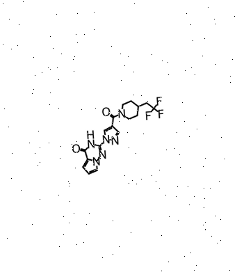 O=C(c1cnn(-c2nn3cccc3c(=O)[nH]2)c1)N1CCC(CC(F)(F)F)CC1